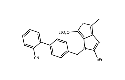 CCCc1nc2c(C)sc(C(=O)OCC)c2n1Cc1ccc(-c2ccccc2C#N)cc1